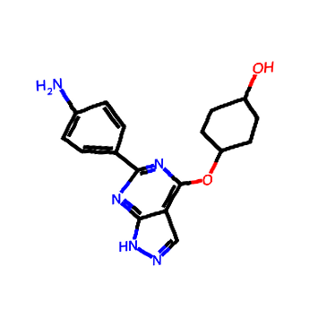 Nc1ccc(-c2nc(OC3CCC(O)CC3)c3cn[nH]c3n2)cc1